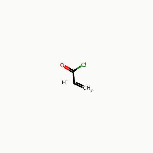 C=CC(=O)Cl.[H+]